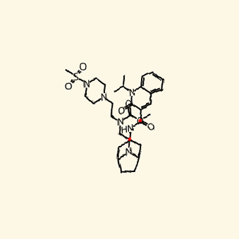 COC(=O)N(CCN1CCN(S(C)(=O)=O)CC1)CCN1C2CCC1CC(NC(=O)c1cc3ccccc3n(C(C)C)c1=O)C2